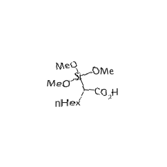 CCCCCCC(C(=O)O)[Si](OC)(OC)OC